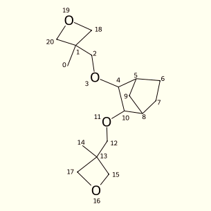 CC1(COC2C3CCC(C3)C2OCC2(C)COC2)COC1